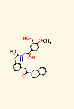 COc1ccc([C@@H](O)CN[C@H](C)Cc2cccc(CC(=O)N3CCc4ccccc4C3)c2)cc1CO